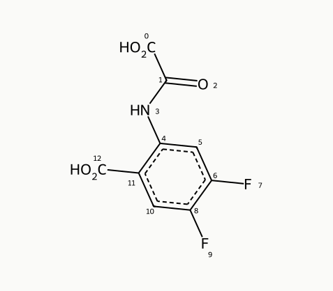 O=C(O)C(=O)Nc1cc(F)c(F)cc1C(=O)O